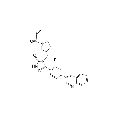 O=C(C1CC1)N1CC[C@@H](Cn2c(-c3ccc(-c4cnc5ccccc5c4)cc3F)n[nH]c2=O)C1